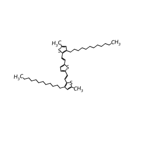 CCCCCCCCCCCCc1cc(C)sc1/C=C/c1ccc(/C=C/c2sc(C)cc2CCCCCCCCCCCC)s1